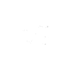 CC(C)(C)P.[HH].[HH]